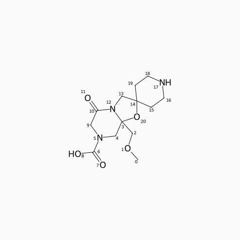 COCC12CN(C(=O)O)CC(=O)N1CC1(CCNCC1)O2